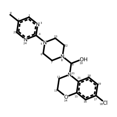 Cc1cnc(N2CCN(C(O)N3CCOc4cc(Cl)ccc43)CC2)nc1